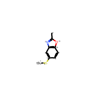 Cc1nc2cc(SC(C)(C)C)ccc2o1